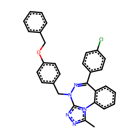 Cc1nnc2n1-c1ccccc1C(c1ccc(Cl)cc1)=NN2Cc1ccc(OCc2ccccc2)cc1